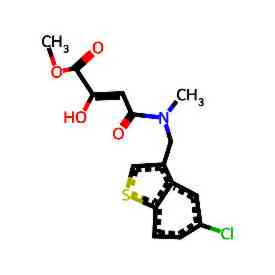 COC(=O)C(O)=CC(=O)N(C)Cc1csc2ccc(Cl)cc12